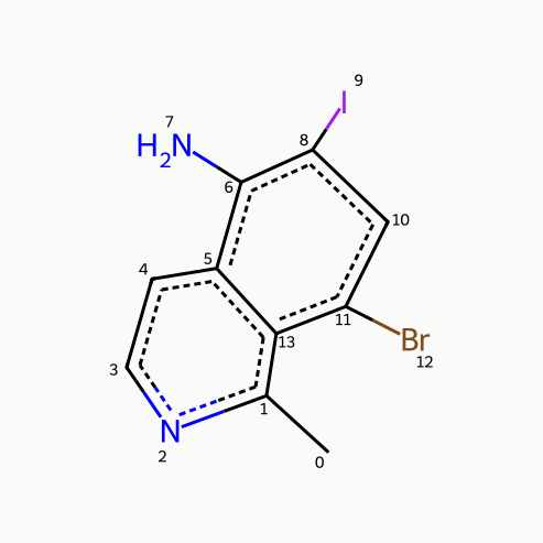 Cc1nccc2c(N)c(I)cc(Br)c12